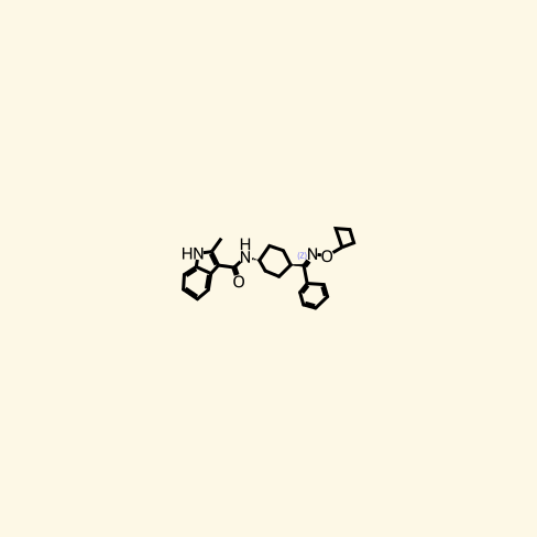 Cc1[nH]c2ccccc2c1C(=O)N[C@H]1CC[C@H](/C(=N/OC2CCC2)c2ccccc2)CC1